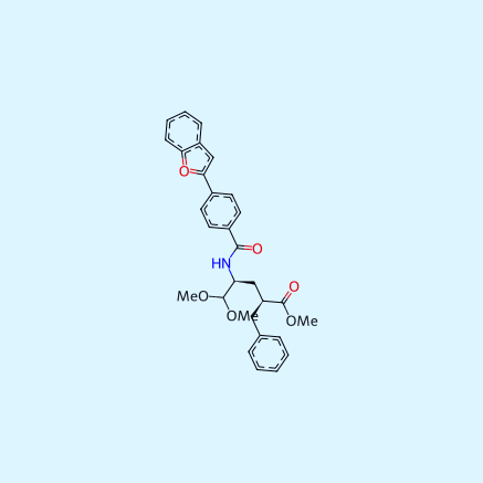 COC(=O)[C@@H](Cc1ccccc1)C[C@H](NC(=O)c1ccc(-c2cc3ccccc3o2)cc1)C(OC)OC